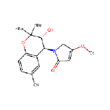 CCCCC1(CCCC)Oc2ccc(C#N)cc2[C@H](N2CC(OCC)=CC2=O)[C@H]1O